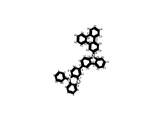 c1ccc(N2c3ccccc3Oc3cc(-c4ccc5c(c4)c4ccccc4n5-c4ccc5c6ccccc6c6ccccc6c5c4)ccc32)cc1